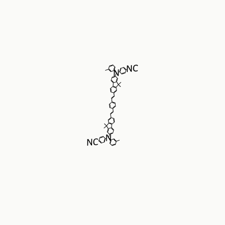 [C-]#[N+]c1ccc(N(c2cccc(C)c2)c2ccc3c(c2)C(C)(C)c2cc(/C=C/c4ccc(/C=C/c5ccc6c(c5)C(C)(C)c5cc(N(c7ccc(C#N)cc7)c7cccc(C)c7)ccc5-6)cc4)ccc2-3)cc1